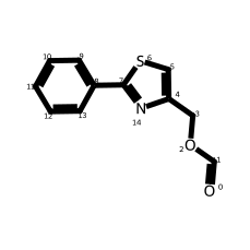 O=[C]OCc1csc(-c2ccccc2)n1